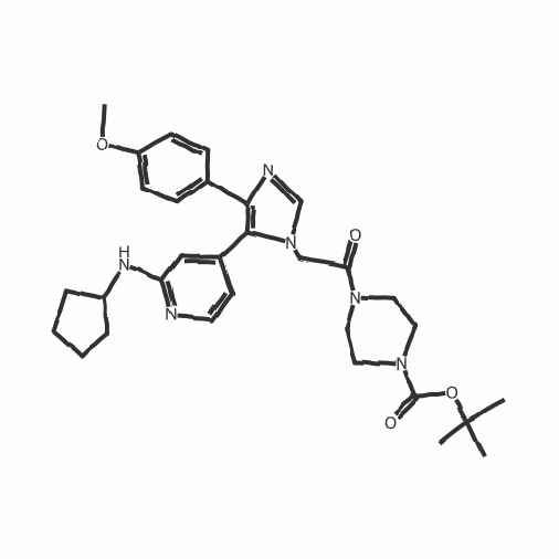 COc1ccc(-c2ncn(CC(=O)N3CCN(C(=O)OC(C)(C)C)CC3)c2-c2ccnc(NC3CCCC3)c2)cc1